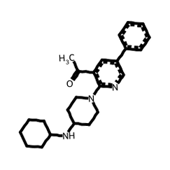 CC(=O)c1cc(-c2ccccc2)cnc1N1CCC(NC2CCCCC2)CC1